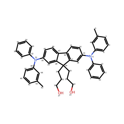 Cc1cccc(N(c2ccccc2)c2ccc3c(c2)C(CCCO)(CCCO)c2cc(N(c4ccccc4)c4cccc(C)c4)ccc2-3)c1